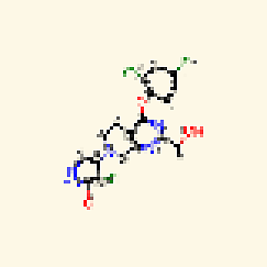 CC(O)c1nc2c(c(Oc3ccc(F)cc3Cl)n1)CCN(c1cn[nH]c(=O)c1Cl)C2